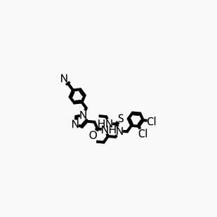 CCNC(=S)N(Cc1cccc(Cl)c1Cl)CC(CC)NC(=O)Cc1cncn1Cc1ccc(C#N)cc1